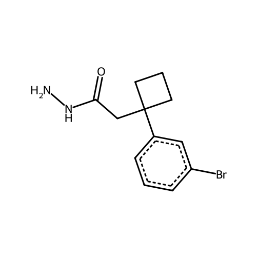 NNC(=O)CC1(c2cccc(Br)c2)CCC1